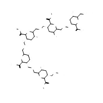 COCC1OC(C(=O)O)[C@H](COCC2OC(C(=O)OC)[C@H](COCC3OC(C(=O)OC)[C@H](COCC4OC(C(=O)O)[C@H](COCC5OC(C(=O)OC)[C@H](COC)C[C@@H]5O)C[C@@H]4O)C[C@@H]3O)CC2O)C[C@@H]1O